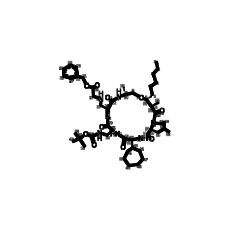 CCCCCC[C@H]1OC[C@@H](C)NC(=O)[C@H](CNCC(=O)OCc2ccccc2)NC(=O)[C@H](CNC(=O)OC(C)(C)C)NC(=O)[C@H](C2CCCCCC2)NC(=O)[C@H](CC(C)C)N(C)C(=O)[C@@H]1C